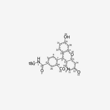 CC(C)(C)NC(=O)c1ccc(-c2c3ccc(=O)cc-3oc3cc(O)ccc23)c(C(=O)O)c1